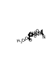 CCOC(=O)c1ccnc(S(=O)(=O)NC(=O)N2CC2C#N)c1